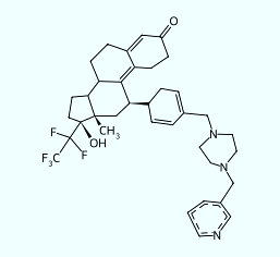 C[C@]12C[C@H](C3C=CC(CN4CCN(Cc5cccnc5)CC4)=CC3)C3=C4CCC(=O)C=C4CCC3C1CC[C@@]2(O)C(F)(F)C(F)(F)F